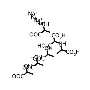 CC(NC(C(=O)O)C(=O)O)C(=O)O.CC(O)C(=O)[O-].CC(O)C(=O)[O-].CC(O)C(=O)[O-].CC(O)C(=O)[O-].[Na+].[Na+].[Na+].[Na+]